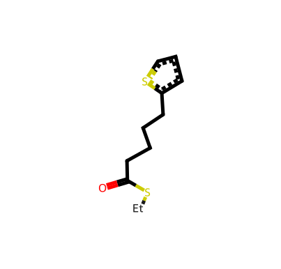 CCSC(=O)CCCCc1cccs1